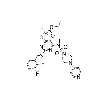 CCOC(=O)[C@@H](C)Oc1cc(NS(=O)(=O)N2CCN(c3ccncc3)CC2)nc(SCc2cccc(F)c2F)n1